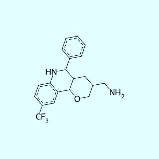 NCC1COC2c3cc(C(F)(F)F)ccc3NC(c3ccccc3)C2C1